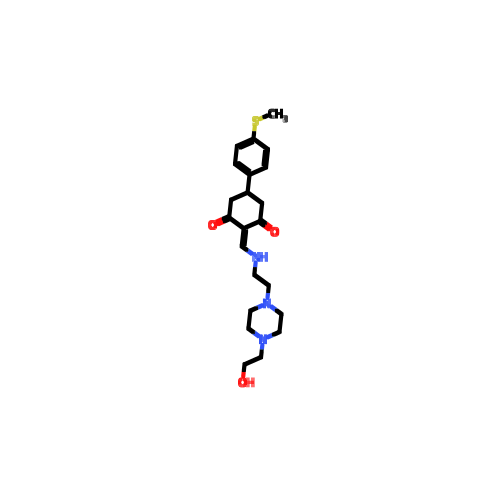 CSc1ccc(C2CC(=O)C(=CNCCN3CCN(CCO)CC3)C(=O)C2)cc1